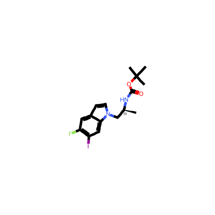 C[C@@H](Cn1ccc2cc(F)c(I)cc21)NC(=O)OC(C)(C)C